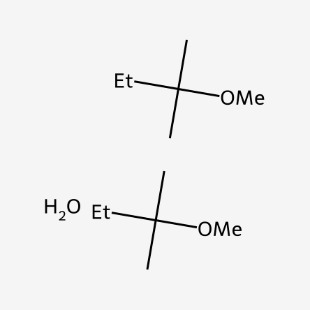 CCC(C)(C)OC.CCC(C)(C)OC.O